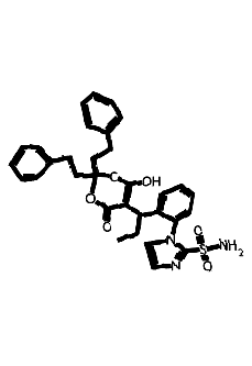 CCC(C1=C(O)CC(CCc2ccccc2)(CCc2ccccc2)OC1=O)c1ccccc1-n1ccnc1S(N)(=O)=O